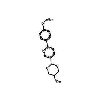 CCCCCCCCCC[C@H]1CO[C@H](c2ccc(-c3ccc(OCCCCCCCCC)cc3)nc2)OC1